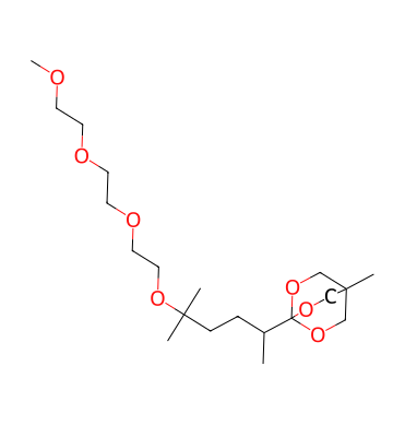 COCCOCCOCCOC(C)(C)CCC(C)C12OCC(C)(CO1)CO2